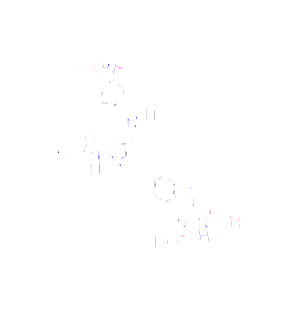 CC(=O)Nc1nc(CCc2ccc(NC(NC(=O)O)NC(=O)O)cc2)c(CN(C)C(=O)c2ccc([N+](=O)[O-])cc2)s1